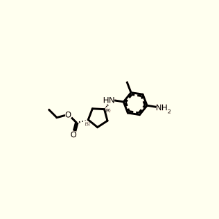 CCOC(=O)[C@H]1CC[C@@H](Nc2ccc(N)cc2C)C1